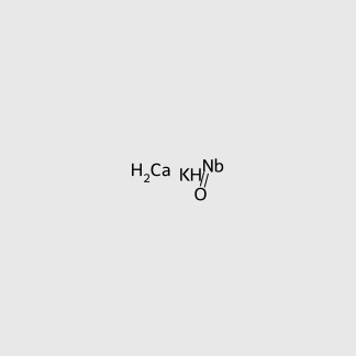 [CaH2].[KH].[O]=[Nb]